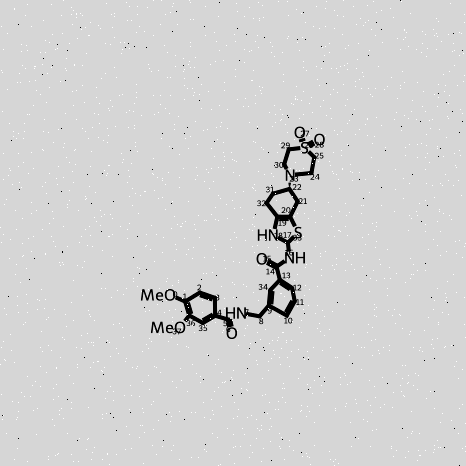 COc1ccc(C(=O)NCc2cccc(C(=O)NC3NC4=C(C[C@@H](N5CCS(=O)(=O)CC5)CC4)S3)c2)cc1OC